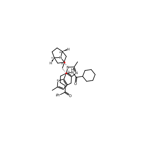 Cc1ccc([C@H](CCN2[C@@H]3CC[C@H]2C[C@@H](n2c(C)nc4c2CCN(C(=O)C(C)C)C4)C3)NC(=O)C2CCCCC2)s1